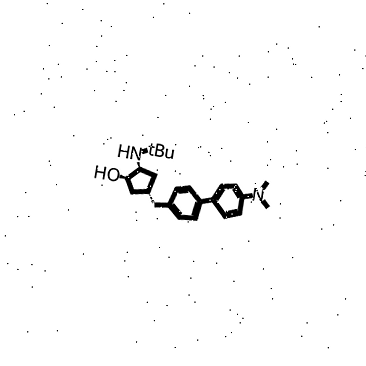 CN(C)c1ccc(-c2ccc(C[C@@H]3C[C@@H](O)[C@H](NC(C)(C)C)C3)cc2)cc1